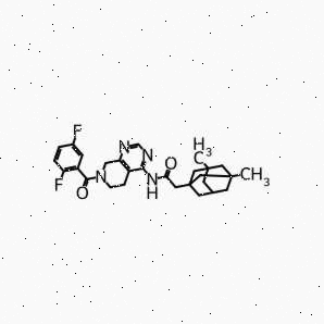 CC12CC3CC(C)(C1)CC(CC(=O)Nc1ncnc4c1CCN(C(=O)c1cc(F)ccc1F)C4)(C3)C2